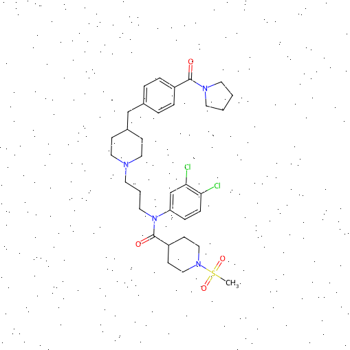 CS(=O)(=O)N1CCC(C(=O)N(CCCN2CCC(Cc3ccc(C(=O)N4CCCC4)cc3)CC2)c2ccc(Cl)c(Cl)c2)CC1